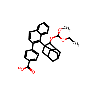 CCOC(OC)OC1C2CC3CC(C2)CC1(c1c(-c2ccc(C(=O)O)cc2)ccc2ccccc12)C3